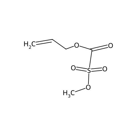 C=CCOC(=O)S(=O)(=O)OC